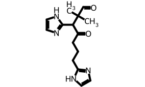 CC(C)(C=O)C(C(=O)CCCc1ncc[nH]1)c1ncc[nH]1